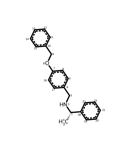 C[C@H](NCc1ccc(OCc2ccccc2)cc1)c1ccccc1